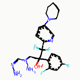 N/N=C\N(N)CC(O)(c1ccc(F)cc1F)C(F)(F)c1ccc(N2CCCCC2)cn1